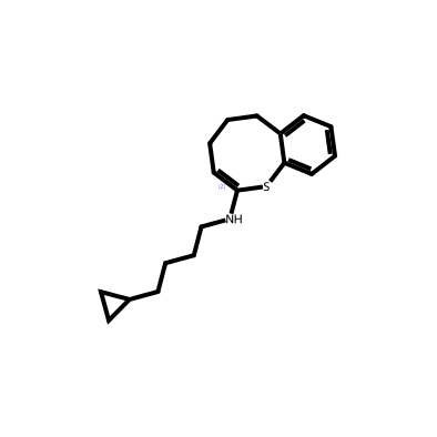 C1=C(/NCCCCC2CC2)Sc2ccccc2CCC/1